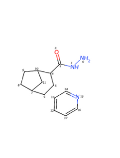 NNC(=O)C1CCC2CCC1C2.c1ccncc1